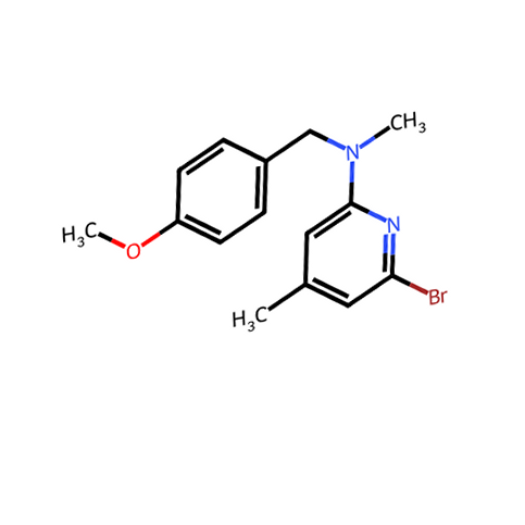 COc1ccc(CN(C)c2cc(C)cc(Br)n2)cc1